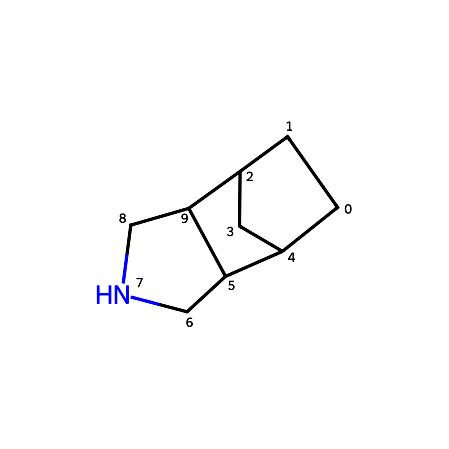 C1CC2CC1C1CNCC21